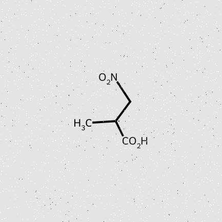 C[C](C[N+](=O)[O-])C(=O)O